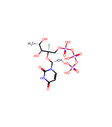 C[C@H](O)[C@H](O)[C@@](F)(COP(=O)(O)OP(=O)(O)OP(=O)(O)O)O[C@H](C)n1ccc(=O)[nH]c1=O